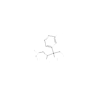 CCC(O)(c1cccc(O)c1)C(C)CN(C)C